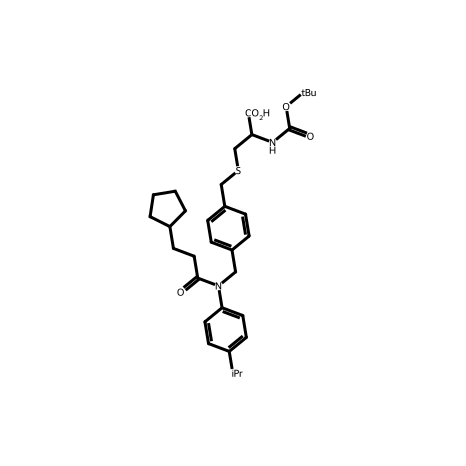 CC(C)c1ccc(N(Cc2ccc(CSCC(NC(=O)OC(C)(C)C)C(=O)O)cc2)C(=O)CCC2CCCC2)cc1